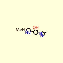 CNc1ccc(-c2ccc(-n3cc(C)cn3)cc2O)nn1